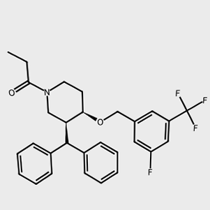 CCC(=O)N1CC[C@@H](OCc2cc(F)cc(C(F)(F)F)c2)[C@@H](C(c2ccccc2)c2ccccc2)C1